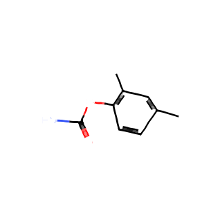 Cc1ccc(OC([NH])=O)c(C)c1